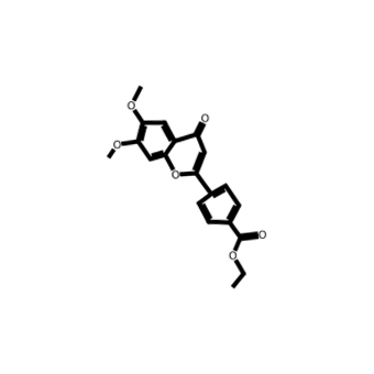 CCOC(=O)c1ccc(-c2cc(=O)c3cc(OC)c(OC)cc3o2)cc1